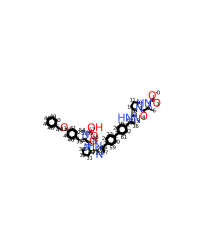 COC(=O)N[C@@H](C)C(=O)N1CCC[C@H]1c1ncc(-c2ccc(-c3ccc(-c4cnc([C@@H]5CCCN5C(=O)[C@H](Cc5ccc(OCc6ccccc6)cc5)N(C)C(=O)O)[nH]4)cc3)cc2)[nH]1